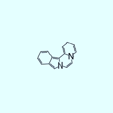 C1=CN2C=Cn3cc4ccccc4c3C2=CC1